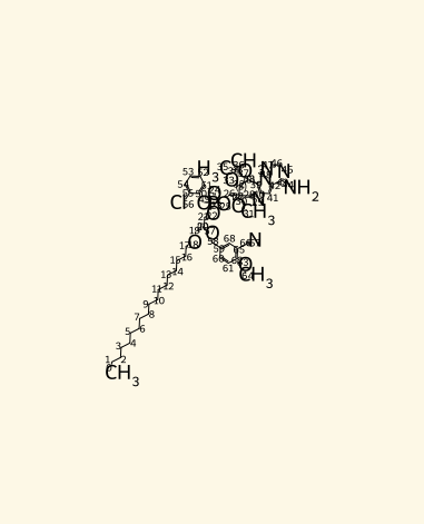 CCCCCCCCCCCCCCCCCCOC[C@H](COP(=O)(OC[C@@](C#N)(OC)[C@H]1OC(C)(C)O[C@H]1c1ccc2c(N)ncnn12)Oc1ccccc1Cl)OCc1ccc(OC)c(C#N)c1